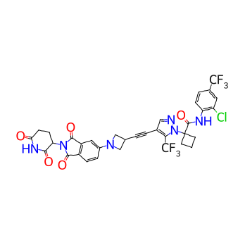 O=C1CCC(N2C(=O)c3ccc(N4CC(C#Cc5cnn(C6(C(=O)Nc7ccc(C(F)(F)F)cc7Cl)CCC6)c5C(F)(F)F)C4)cc3C2=O)C(=O)N1